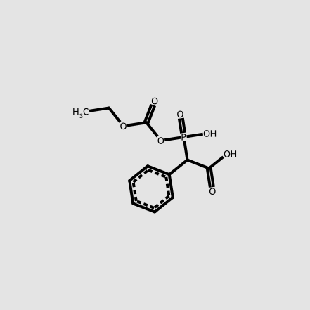 CCOC(=O)OP(=O)(O)C(C(=O)O)c1ccccc1